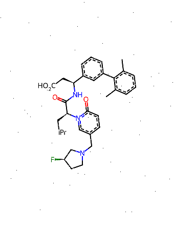 Cc1cccc(C)c1-c1cccc([C@H](CC(=O)O)NC(=O)[C@H](CC(C)C)n2cc(CN3CC[C@@H](F)C3)ccc2=O)c1